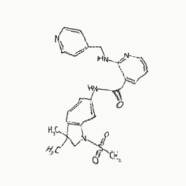 CC1(C)CN(S(C)(=O)=O)c2cc(NC(=O)c3cccnc3NCc3ccncc3)ccc21